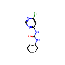 O=C(Nc1cc(Cl)ncn1)NC1CCCCC1